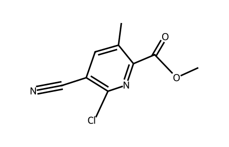 COC(=O)c1nc(Cl)c(C#N)cc1C